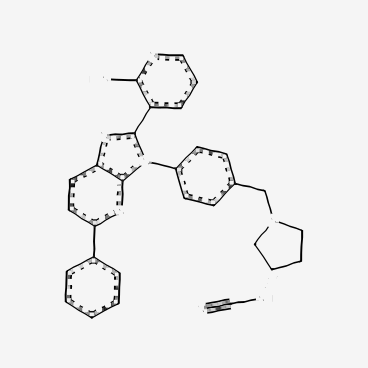 N#CN[C@H]1CCN(Cc2ccc(-n3c(-c4cccnc4N)nc4ccc(-c5ccccc5)nc43)cc2)C1